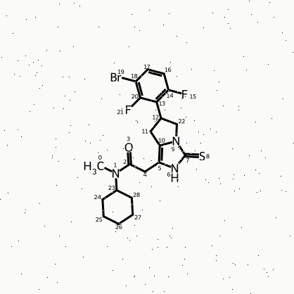 CN(C(=O)Cc1[nH]c(=S)n2c1CC(c1c(F)ccc(Br)c1F)C2)C1CCCCC1